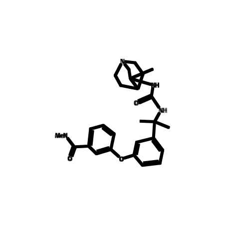 CNC(=O)c1cccc(Oc2cccc(C(C)(C)NC(=O)NC3(C)CN4CCC3CC4)c2)c1